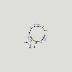 CC(O)/C1=C/CC/C=C\CC/C=C\CC1